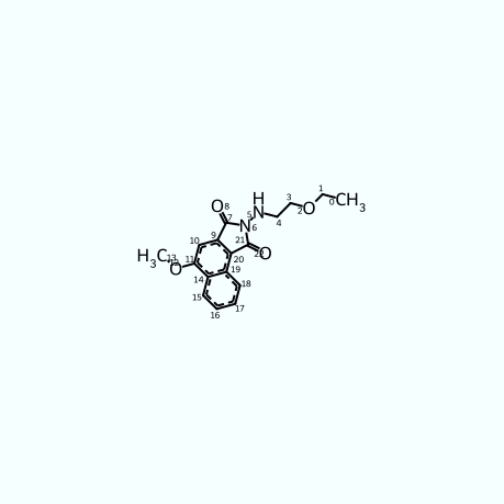 CCOCCNN1C(=O)c2cc(OC)c3ccccc3c2C1=O